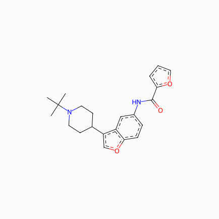 CC(C)(C)N1CCC(c2coc3ccc(NC(=O)c4ccco4)cc23)CC1